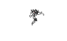 Cc1noc(C[C@@H]2C(=O)N(c3ccc4c(cnn4-c4ccc(F)cc4)c3)[C@@H](c3ccccc3)[C@@H]2C2(C(N)=O)CC2)n1